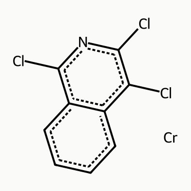 Clc1nc(Cl)c2ccccc2c1Cl.[Cr]